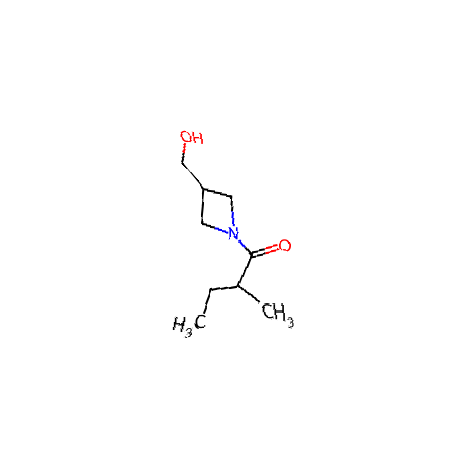 CCC(C)C(=O)N1CC(CO)C1